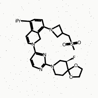 CC(C)c1ccc(N2CC(CS(C)(=O)=O)C2)c2c1C=CN(c1ccnc(N3CCC4(OCCO4)[C@H](F)C3)n1)C2